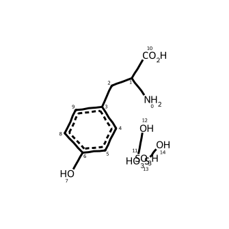 NC(Cc1ccc(O)cc1)C(=O)O.O=S(=O)(O)O.O=S(=O)(O)O